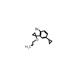 C=CCOC1(c2cc(C3CC3)ccc2Br)CC1